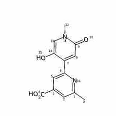 Cc1cc(C(=O)O)cc(-c2cc(=O)n(C)cc2O)n1